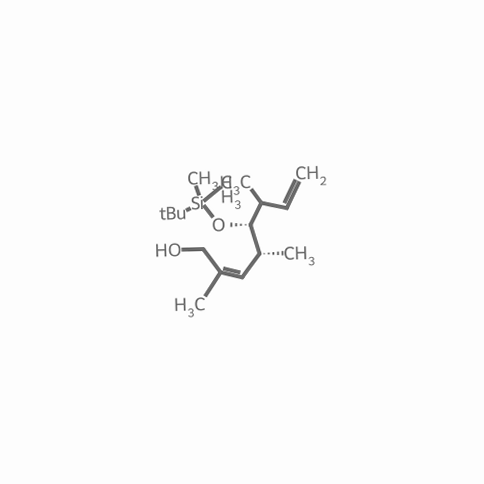 C=CC(C)[C@@H](O[Si](C)(C)C(C)(C)C)[C@H](C)/C=C(/C)CO